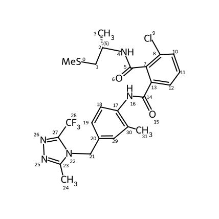 CSC[C@H](C)NC(=O)c1c(Cl)cccc1C(=O)Nc1ccc(Cn2c(C)nnc2C(F)(F)F)cc1C